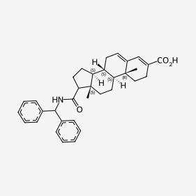 C[C@]12CCC(C(=O)O)=CC1=CC[C@@H]1[C@@H]2CC[C@]2(C)C(C(=O)NC(c3ccccc3)c3ccccc3)CC[C@@H]12